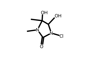 CN1C(=O)N(Cl)C(O)C1(C)O